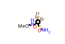 Br.COCCNC(=O)c1ccc(Br)cc1CSC(N)=O